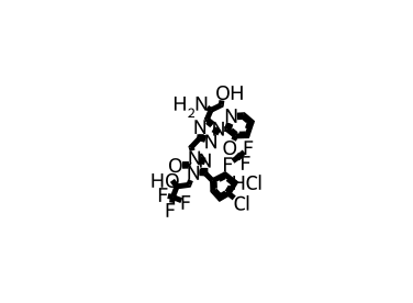 Cl.NC(CO)c1nc(Cn2nc(-c3ccc(Cl)cc3)n(CC(O)C(F)(F)F)c2=O)nn1-c1ncccc1OC(F)(F)F